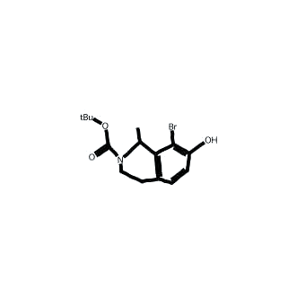 CC1c2c(ccc(O)c2Br)CCN1C(=O)OC(C)(C)C